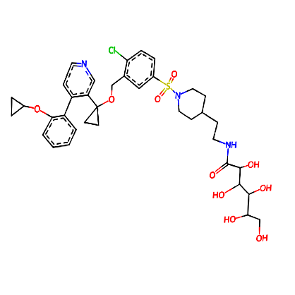 O=C(NCCC1CCN(S(=O)(=O)c2ccc(Cl)c(COC3(c4cnccc4-c4ccccc4OC4CC4)CC3)c2)CC1)C(O)C(O)C(O)C(O)CO